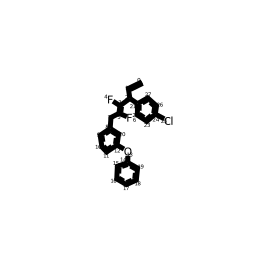 C=CC(C(F)=C(F)Cc1cccc(Oc2ccccc2)c1)c1ccc(Cl)cc1